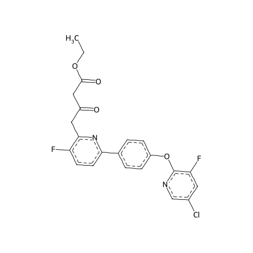 CCOC(=O)CC(=O)Cc1nc(-c2ccc(Oc3ncc(Cl)cc3F)cc2)ccc1F